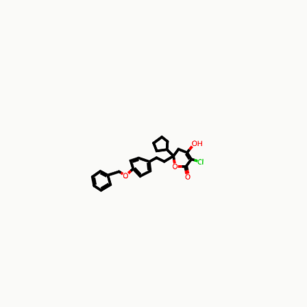 O=C1OC(CCc2ccc(OCc3ccccc3)cc2)(C2CCCC2)CC(O)=C1Cl